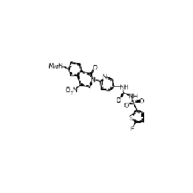 CNc1ccc2c(=O)n(-c3ccc(NC(=O)NS(=O)(=O)c4ccc(F)s4)cn3)cc([N+](=O)[O-])c2c1